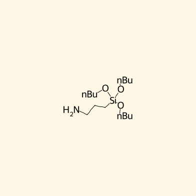 CCCCO[Si](CCCN)(OCCCC)OCCCC